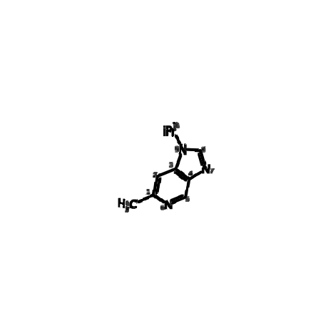 Cc1cc2c(cn1)ncn2C(C)C